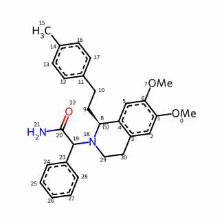 COc1cc2c(cc1OC)[C@H](CCc1ccc(C)cc1)N(C(C(N)=O)c1ccccc1)CC2